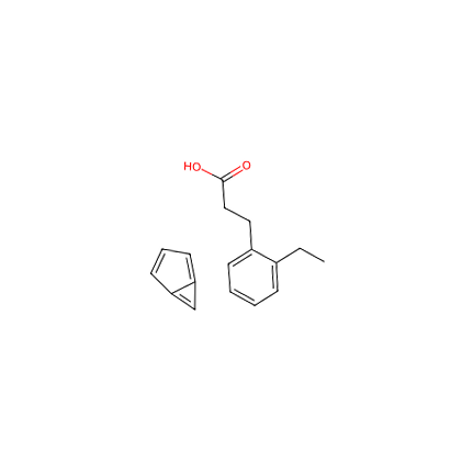 CCc1ccccc1CCC(=O)O.c1cc2cc-2c1